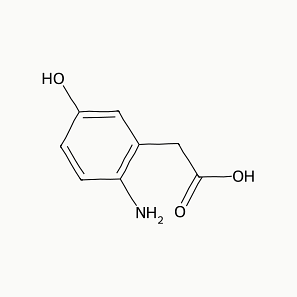 Nc1ccc(O)cc1CC(=O)O